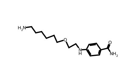 NCCCCCCOCCNc1ccc(C(N)=O)cc1